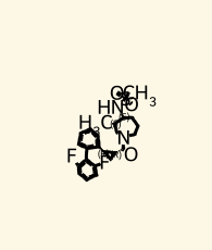 C[C@H]1CN(C(=O)[C@@H]2C[C@H]2c2ccccc2-c2c(F)cccc2F)CCC[C@@H]1NS(C)(=O)=O